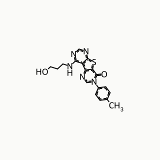 Cc1ccc(-n2cnc3c(sc4ncnc(NCCCO)c43)c2=O)cc1